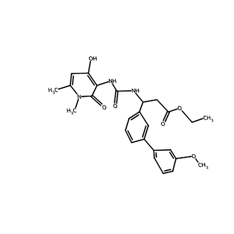 CCOC(=O)CC(NC(=O)Nc1c(O)cc(C)n(C)c1=O)c1cccc(-c2cccc(OC)c2)c1